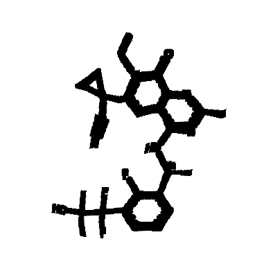 CCn1c(C2(C#N)CC2)cc2c(N[C@H](C)c3cccc(C(F)(F)C(C)(C)O)c3F)nc(C)nc2c1=O